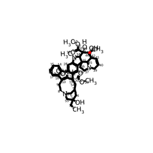 CCC1(O)CC2C[N@](CCc3c([nH]c4ccccc34)[C@@](C(=O)OC)(c3cc4c(cc3OC)N(C)C3C45CCN4CC=C[C@](CC)(C45)[C@@H](O)[C@]3(O)C(=O)OC)C2)C1